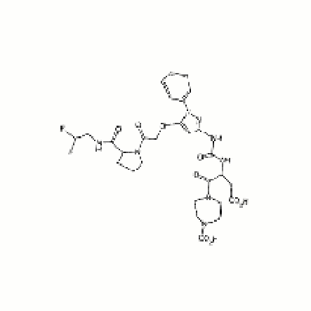 O=C(O)CC(NC(=O)Nc1cc(OCC(=O)N2CCCC2C(=O)NCC(F)F)n(-c2ccccc2)n1)C(=O)N1CCN(C(=O)O)CC1